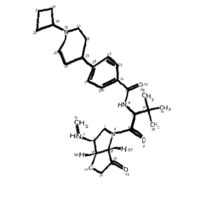 CN[C@H]1CN(C(=O)C(NC(=O)c2ccc(C3CCN(C4CCC4)CC3)cc2)C(C)(C)C)[C@@H]2C(=O)CO[C@H]12